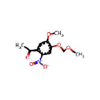 COCOc1cc([N+](=O)[O-])c(C(C)=O)cc1OC